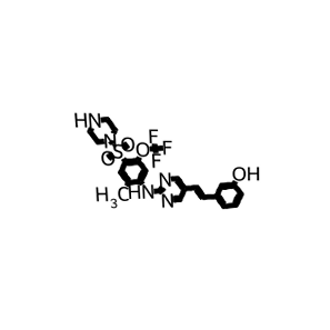 Cc1cc(S(=O)(=O)N2CCNCC2)c(OC(F)(F)F)cc1Nc1ncc(/C=C/c2cccc(O)c2)cn1